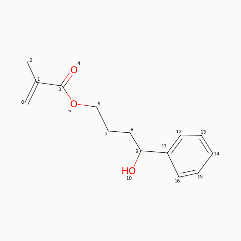 C=C(C)C(=O)OCCCC(O)c1ccccc1